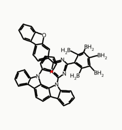 Bc1c(B)c(B)c(-c2nc(-c3ccc4c(c3)oc3ccccc34)nc(-n3c4ccccc4c4ccc5c6ccccc6n(-c6ccccc6)c5c43)n2)c(B)c1B